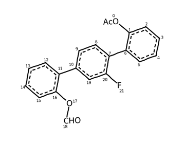 CC(=O)Oc1ccccc1-c1ccc(-c2ccccc2OC=O)cc1F